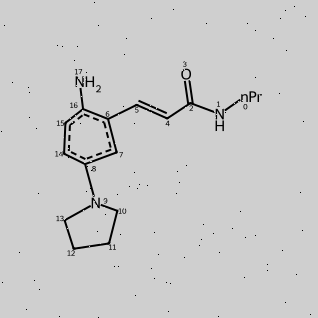 CCCNC(=O)C=Cc1cc(N2CCCC2)ccc1N